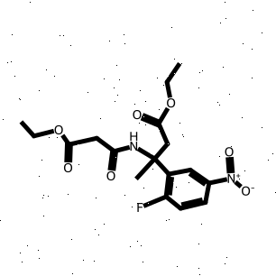 CCOC(=O)CC(=O)NC(C)(CC(=O)OCC)c1cc([N+](=O)[O-])ccc1F